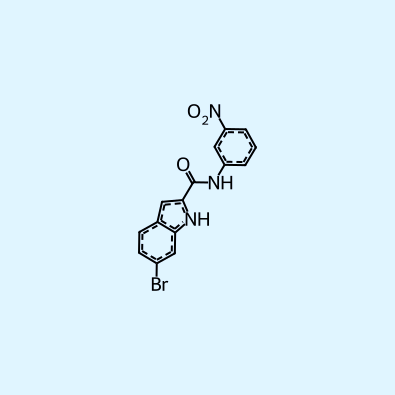 O=C(Nc1cccc([N+](=O)[O-])c1)c1cc2ccc(Br)cc2[nH]1